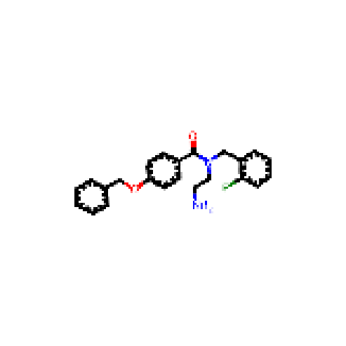 NCCN(Cc1ccccc1F)C(=O)c1ccc(OCc2ccccc2)cc1